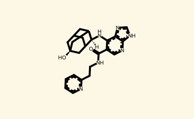 O=C(NCCc1ccccn1)c1cnc2[nH]cnc2c1N[C@H]1C2CC3CC1C[C@@](O)(C3)C2